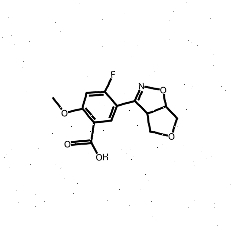 COc1cc(F)c(C2=NOC3COCC23)cc1C(=O)O